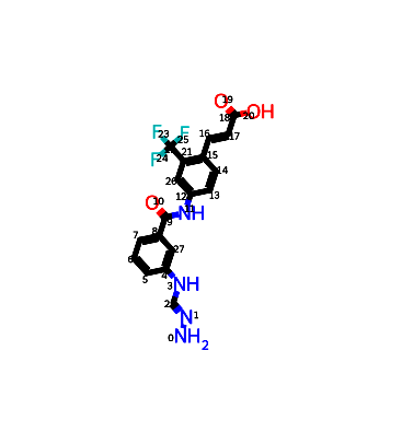 NN=CNc1cccc(C(=O)Nc2ccc(C=CC(=O)O)c(C(F)(F)F)c2)c1